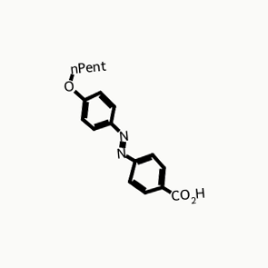 CCCCCOc1ccc(N=Nc2ccc(C(=O)O)cc2)cc1